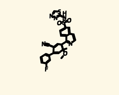 COC1(C)C=C(c2cccc(F)c2)C(C#N)=CC1c1nccc2cc(S(=O)(=O)Nc3nncs3)ccc12